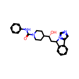 O=C(Nc1ccccc1)N1CCC([C@H](O)CC2c3ccccc3-c3cncn32)CC1